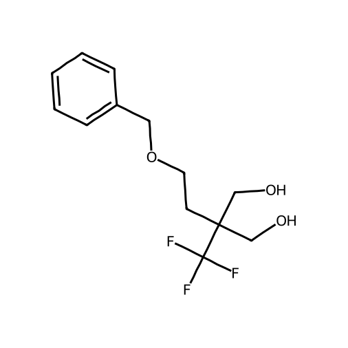 OCC(CO)(CCOCc1ccccc1)C(F)(F)F